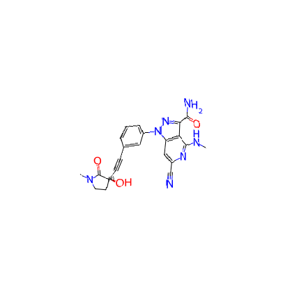 CNc1nc(C#N)cc2c1c(C(N)=O)nn2-c1cccc(C#C[C@]2(O)CCN(C)C2=O)c1